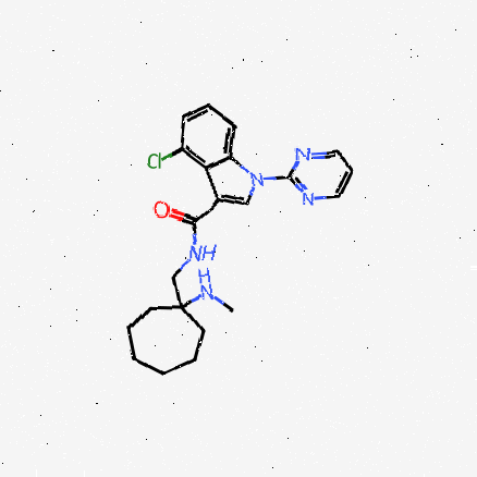 CNC1(CNC(=O)c2cn(-c3ncccn3)c3cccc(Cl)c23)CCCCCC1